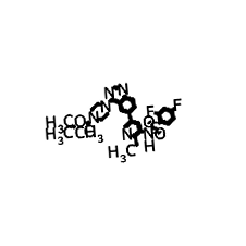 CCc1ncc(-c2ccc3ncnc(N4CCN(C(=O)OC(C)(C)C)CC4)c3c2)cc1NS(=O)(=O)c1ccc(F)cc1F